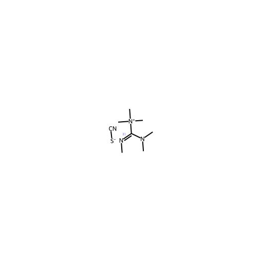 C/N=C(\N(C)C)[N+](C)(C)C.N#C[S-]